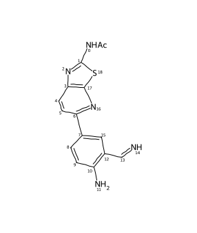 CC(=O)Nc1nc2ccc(-c3ccc(N)c(C=N)c3)nc2s1